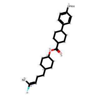 CCCCCCc1ccc(C2CCC(C(=O)OC3CCC(CC/C=C(/F)C#N)CC3)CC2)cc1